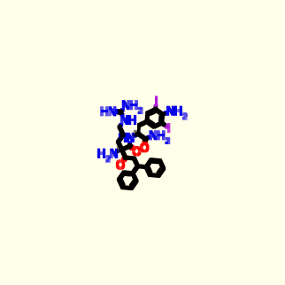 N=C(N)NCCC[C@](N)(C(=O)CC(c1ccccc1)c1ccccc1)C(=O)N[C@@H](Cc1cc(I)c(N)c(I)c1)C(N)=O